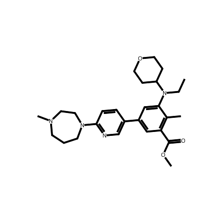 CCN(c1cc(-c2ccc(N3CCCN(C)CC3)nc2)cc(C(=O)OC)c1C)C1CCOCC1